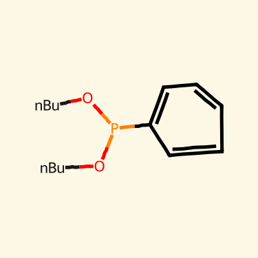 CCCCOP(OCCCC)c1ccccc1